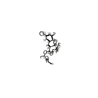 C=NOC(C)OC(=O)C1=Cc2cc(Cl)cc(C)c2O[C@@H]1C(F)(F)F